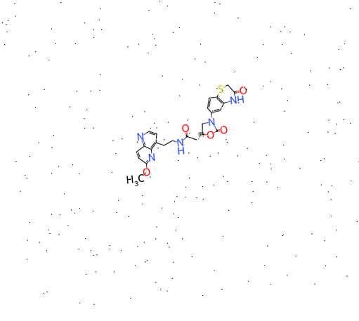 COc1ccc2nccc(CCNC(=O)C[C@@H]3CN(c4ccc5c(c4)NC(=O)CS5)C(=O)O3)c2n1